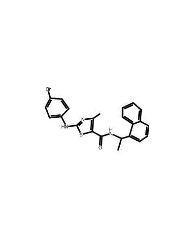 Cc1nc(Nc2ccc(Br)cc2)sc1C(=O)NC(C)c1cccc2ccccc12